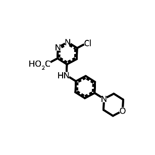 O=C(O)c1nnc(Cl)cc1Nc1ccc(N2CCOCC2)cc1